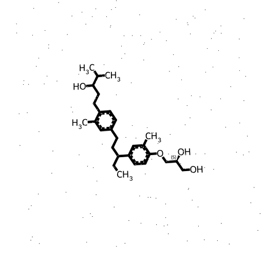 CCC(CCc1ccc(CCC(O)C(C)C)c(C)c1)c1ccc(OC[C@@H](O)CO)c(C)c1